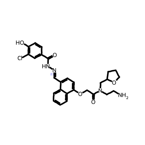 NCCN(CC1CCCO1)C(=O)COc1ccc(/C=N/NC(=O)c2ccc(O)c(Cl)c2)c2ccccc12